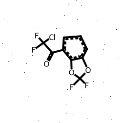 O=C(c1cccc2c1OC(F)(F)O2)C(F)(F)Cl